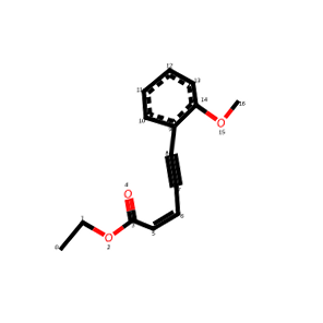 CCOC(=O)/C=C\C#Cc1ccccc1OC